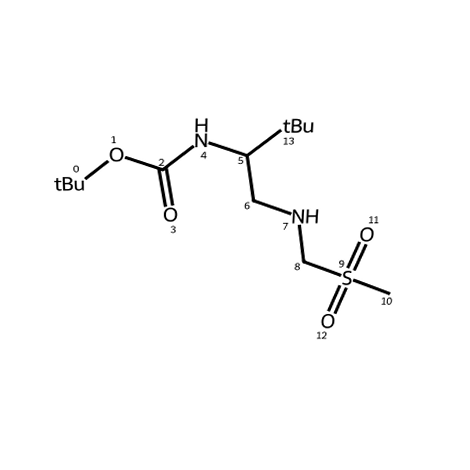 CC(C)(C)OC(=O)NC(CNCS(C)(=O)=O)C(C)(C)C